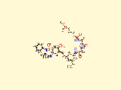 COC(=O)CCCCC(=O)NC(C)C(=O)NC(C)C(=O)Nc1cc(CCl)cc(COc2cc3c(cc2OC)C(=O)N2c4ccccc4C[C@H]2C=N3)c1